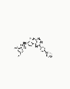 CCCc1cc(OC)c2oc(Nc3ccc(-c4nn(C5CCC(N6CCOCC6)CC5)c5ncnc(N)c45)cc3)nc2c1